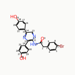 O=C(Cc1ccc(Br)cc1)Nc1ncc(-c2ccc(O)cc2)nc1-c1ccc(O)cc1